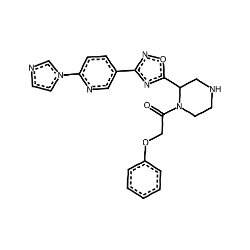 O=C(COc1ccccc1)N1CCNCC1c1nc(-c2ccc(-n3ccnc3)nc2)no1